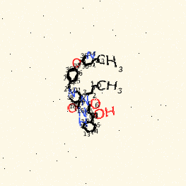 CCCCN1C(=O)[C@@H]([C@H](O)C2CCCCC2)NC(=O)C12CCN(Cc1ccc(Oc3ccc(C)nc3)cc1)CC2